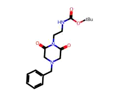 CC(C)(C)OC(=O)NCCN1C(=O)CN(Cc2ccccc2)CC1=O